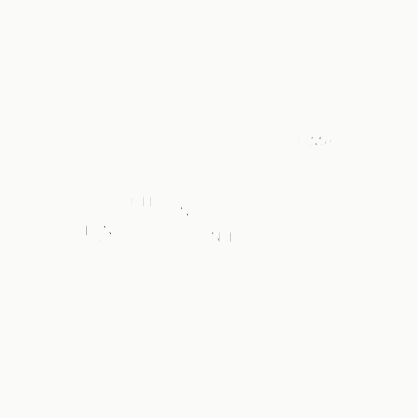 COCc1ccc(-c2nc3c(C(N)O)cccc3[nH]2)cc1